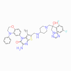 [2H]c1c(CNC2CCN(CC(O)(Cn3cncn3)c3ccc(F)cc3F)CC2)sc2nc(N)c(=O)n(-c3ccc4c(c3)N(c3ccccc3)CCO4)c12